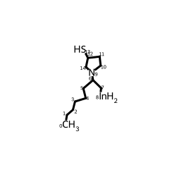 CCCCCCC([CH2][InH2])N1CCC(S)C1